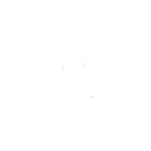 CCOC(=O)C(=C1NCCCO1)[N+](=O)[O-]